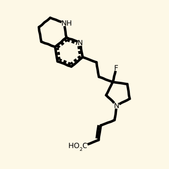 O=C(O)/C=C/CN1CCC(F)(CCc2ccc3c(n2)NCCC3)C1